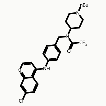 CCCCN1CCC(N(Cc2ccc(Nc3ccnc4cc(Cl)ccc34)cc2)C(=O)C(F)(F)F)CC1